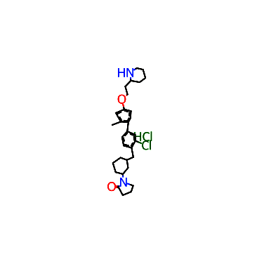 Cc1cc(OCCC2CCCCN2)ccc1-c1ccc(CC2CCCC(N3CCCC3=O)C2)c(Cl)c1.Cl